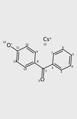 O=C(c1ccccc1)c1ccc([O-])cc1.[Cs+]